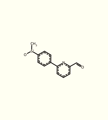 C[S+]([O-])c1ccc(-c2cccc(C=O)n2)cc1